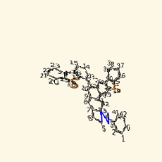 c1ccc(-n2ccc3cc4cc(-c5cccc6c5sc5ccccc56)c5cc6c(cc5c4cc32)sc2ccccc26)cc1